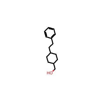 OCC1CCC(CCc2ccccc2)CC1